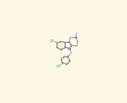 CN1CCc2c(c3cc(Cl)ccc3n2Cc2ccc(Cl)cc2)C1